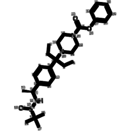 CCC(CC)(c1ccc([C@H](C)N[S+]([O-])C(C)(C)C)cc1)N1CCN(C(=O)Oc2ccccc2)CC1